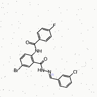 O=C(Nc1ccc(Br)cc1C(=O)N/N=C/c1cccc(Cl)c1)c1ccc(F)cc1